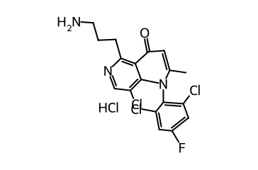 Cc1cc(=O)c2c(CCCN)ncc(Cl)c2n1-c1c(Cl)cc(F)cc1Cl.Cl